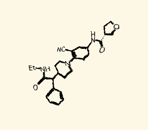 CCNC(=O)C(c1ccccc1)C1CCN(c2ccc(NC(=O)[C@@H]3CCOC3)cc2C#N)CC1